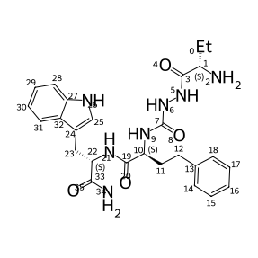 CC[C@H](N)C(=O)NNC(=O)N[C@@H](CCc1ccccc1)C(=O)N[C@@H](Cc1c[nH]c2ccccc12)C(N)=O